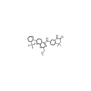 COCc1nc(Nc2ccc3c(c2)NC(=O)CC3(C)C)c2ccc(-c3ncccc3C(F)(F)F)nc2n1